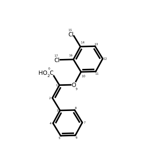 O=C(O)C(=Cc1ccccc1)Oc1cccc(Cl)c1Cl